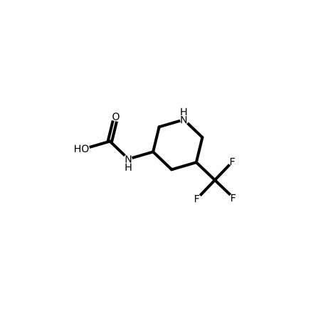 O=C(O)NC1CNCC(C(F)(F)F)C1